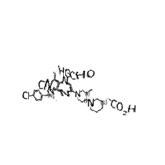 Cc1nn([C@H](C)c2ccc(Cl)cc2Cl)c2nc(N3CC[C@H](N4CCC[C@@H](CC(=O)O)C4)[C@H](C)C3)cnc12.O=CO